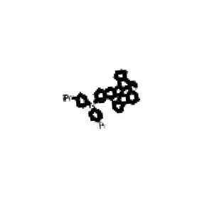 CC(C)c1ccc(N(c2ccc(C(C)C)cc2)c2ccc3cc4c(cc3c2)C2(c3ccccc3-c3ccccc32)c2c-4c3ccccc3c3ccccc23)cc1